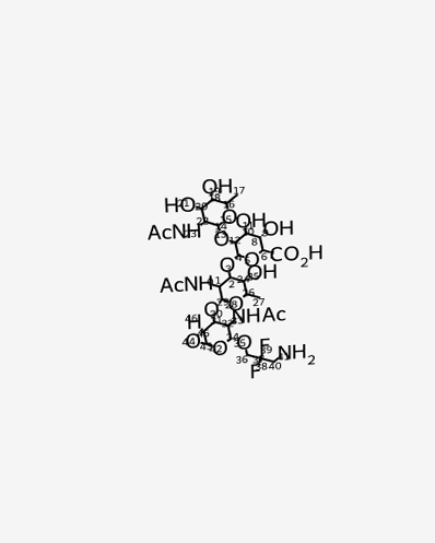 CC(=O)NC1C(O[C@@H]2OC(C(=O)O)[C@@H](O)C(O)C2O[C@@H]2OC(C)[C@@H](O)C(O)[C@@H]2NC(C)=O)[C@@H](O)C(C)O[C@H]1OC1C(NC(C)=O)[C@H](OCC(F)(F)CN)OC2O[C@@H]21